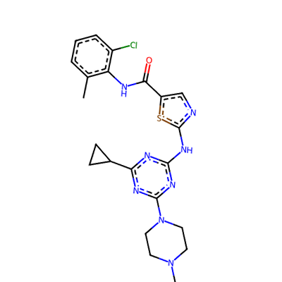 Cc1cccc(Cl)c1NC(=O)c1cnc(Nc2nc(C3CC3)nc(N3CCN(C)CC3)n2)s1